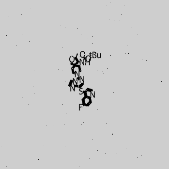 C[C@@H]1OCC2(CCN(c3ncc(Sc4ccnc5ccc(F)cc45)c4nccn34)CC2)[C@@H]1NC(=O)OC(C)(C)C